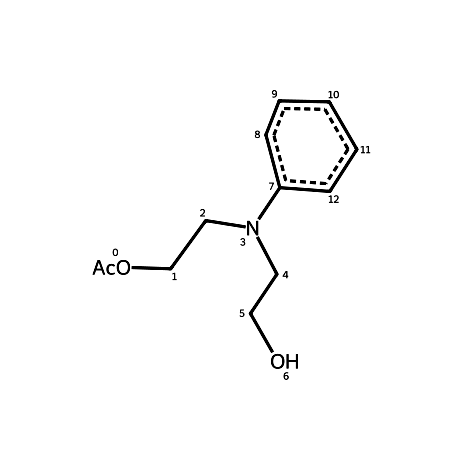 CC(=O)OCCN(CCO)c1ccccc1